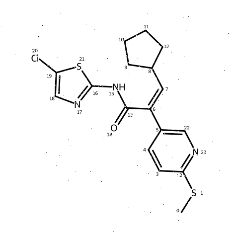 CSc1ccc(C(=CC2CCCC2)C(=O)Nc2ncc(Cl)s2)cn1